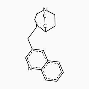 c1ccc2ncc(CN3CCN4CCC3CC4)cc2c1